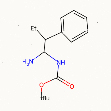 CCC(c1ccccc1)C(N)NC(=O)OC(C)(C)C